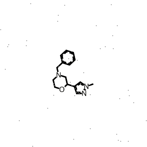 Cn1cc(C2CN(Cc3ccccc3)CCO2)cn1